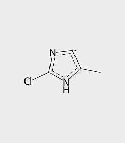 Cc1[c]nc(Cl)[nH]1